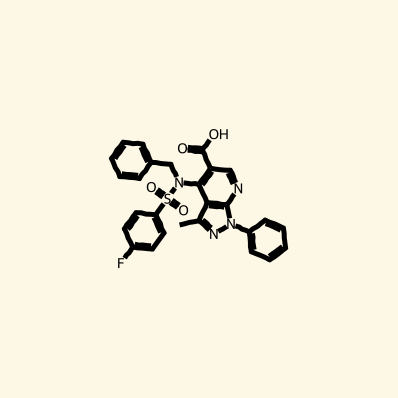 Cc1nn(-c2ccccc2)c2ncc(C(=O)O)c(N(Cc3ccccc3)S(=O)(=O)c3ccc(F)cc3)c12